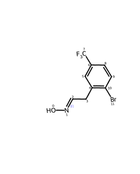 O/N=C/Cc1cc(C(F)(F)F)ccc1Br